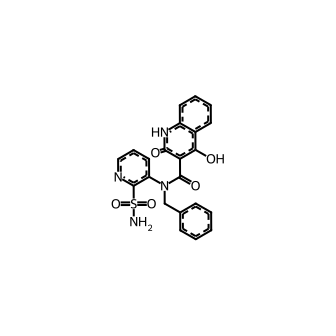 NS(=O)(=O)c1ncccc1N(Cc1ccccc1)C(=O)c1c(O)c2ccccc2[nH]c1=O